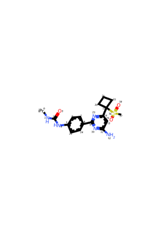 CC(C)NC(=O)Nc1ccc(-c2nc(N)cc(C3(S(C)(=O)=O)CCC3)n2)cc1